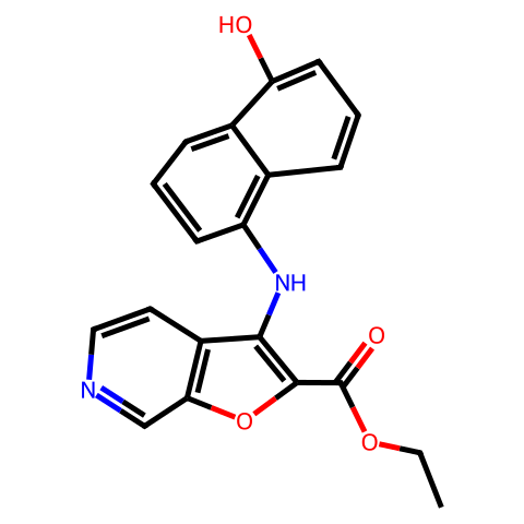 CCOC(=O)c1oc2cnccc2c1Nc1cccc2c(O)cccc12